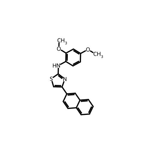 COc1ccc(Nc2nc(-c3ccc4ccccc4c3)cs2)c(OC)c1